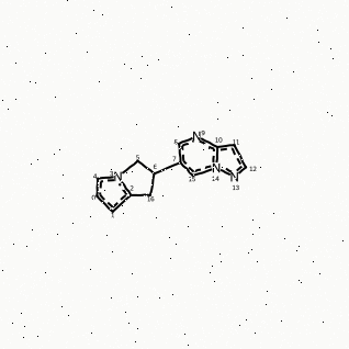 c1cc2n(c1)CC(c1cnc3ccnn3c1)C2